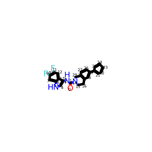 O=C(Nc1c[nH]c2cc(F)c(F)cc12)N1CCc2cc(-c3ccccc3)ccc2C1